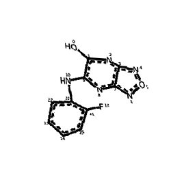 Oc1nc2nonc2nc1Nc1ccccc1F